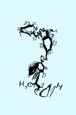 CC(CC(=O)O)c1ccc(OCc2ccc3cnn(Cc4ncccn4)c3c2)cc1